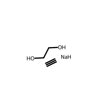 C#C.OCCO.[NaH]